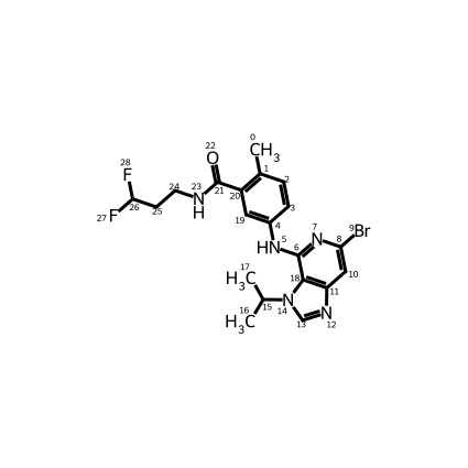 Cc1ccc(Nc2nc(Br)cc3ncn(C(C)C)c23)cc1C(=O)NCCC(F)F